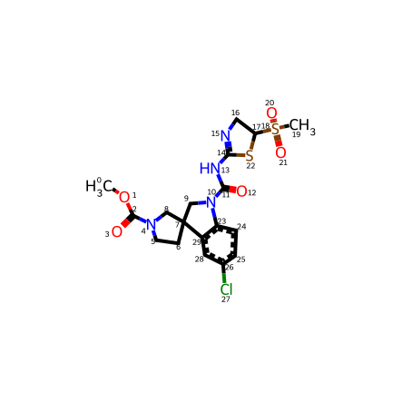 COC(=O)N1CCC2(C1)CN(C(=O)NC1=NCC(S(C)(=O)=O)S1)c1ccc(Cl)cc12